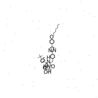 CCCCCCCOc1ccc(-c2cnc(-c3ccc(C[C@H](NC(=O)c4ccc(C(C)(C)C)s4)C(=O)NC4(C(=O)O)CC4)cc3)nc2)cc1